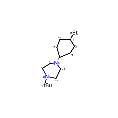 CC[C@H]1CC[C@H](N2CCN(C(C)(C)C)CC2)CC1